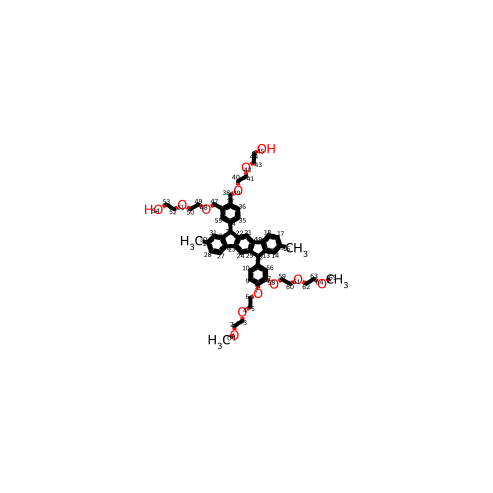 COCCOCCOc1ccc(C2c3cc(C)ccc3-c3cc4c(cc32)-c2ccc(C)cc2C4c2ccc(COCCOCCO)c(COCCOCCO)c2)cc1OCCOCCOC